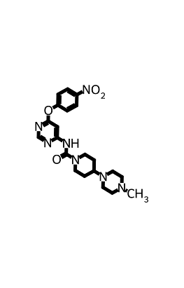 CN1CCN(C2CCN(C(=O)Nc3cc(Oc4ccc([N+](=O)[O-])cc4)ncn3)CC2)CC1